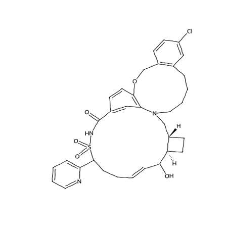 O=C1NS(=O)(=O)C(c2ccccn2)CC/C=C/C(O)[C@@H]2CC[C@H]2CN2CCCCc3cc(Cl)ccc3COc3ccc1cc32